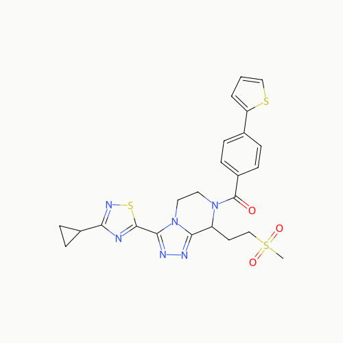 CS(=O)(=O)CCC1c2nnc(-c3nc(C4CC4)ns3)n2CCN1C(=O)c1ccc(-c2cccs2)cc1